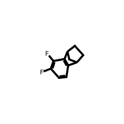 Fc1ccc2c(c1F)C1CCC2C1